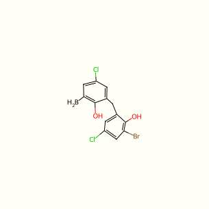 Bc1cc(Cl)cc(Cc2cc(Cl)cc(Br)c2O)c1O